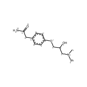 CC(C)N(C)CC(O)COc1ccc(CC(N)=O)cc1